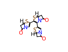 O=C1C[C@H]2SC(C3=C(C4=CN5C(=O)C[C@H]5S4)N4C(=O)C[C@H]4S3)=CN12